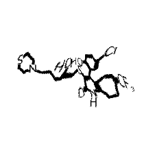 O=c1[nH]c2ccc(C(F)(F)F)cc2c(-c2cc(Cl)ccc2O)c1SCC(O)CCCN1CCSCC1